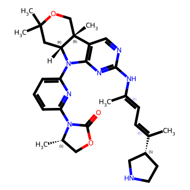 C/C(=C\C=C(/C)[C@@H]1CCNC1)Nc1ncc2c(n1)N(c1cccc(N3C(=O)OC[C@@H]3C)n1)[C@@H]1CC(C)(C)OC[C@]21C